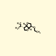 CCO[C@@H]1CO[C@@H]2[C@H]1OC[C@@H]2C(C)C